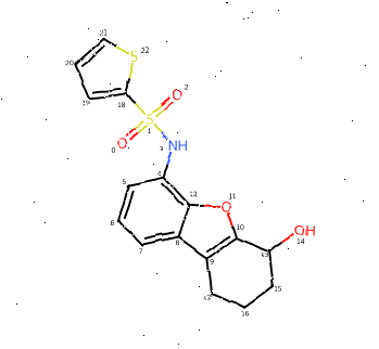 O=S(=O)(Nc1cccc2c3c(oc12)C(O)CCC3)c1cccs1